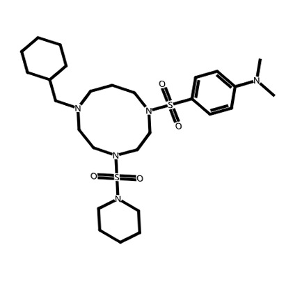 CN(C)c1ccc(S(=O)(=O)N2CCCN(CC3CCCCC3)CCN(S(=O)(=O)N3CCCCC3)CC2)cc1